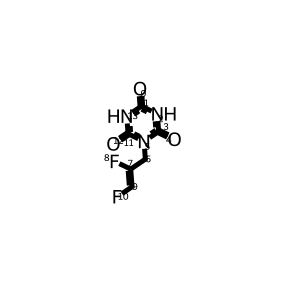 O=c1[nH]c(=O)n(CC(F)=CF)c(=O)[nH]1